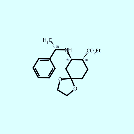 CCOC(=O)[C@@H]1CCC2(C[C@H]1N[C@@H](C)c1ccccc1)OCCO2